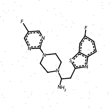 NC(Cc1nc2ccc(F)cc2s1)N1CCN(c2ncc(F)cn2)CC1